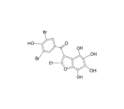 CCc1oc2c(O)c(O)c(O)c(O)c2c1C(=O)c1cc(Br)c(O)c(Br)c1